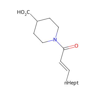 CCCCCCCC=CC(=O)N1CCC(C(=O)O)CC1